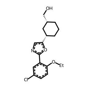 CCOc1ccc(Cl)cc1-c1ncc([C@H]2CCC[C@@H](CO)C2)o1